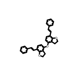 C(=Cc1ccc(Oc2ccc(C=Cc3ccccc3)c3c2CCO3)c2c1OCC2)c1ccccc1